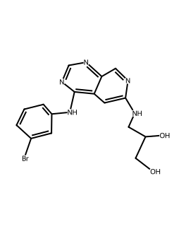 OCC(O)CNc1cc2c(Nc3cccc(Br)c3)ncnc2cn1